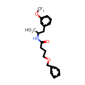 O=C(CCCOCc1ccccc1)NC(Cc1cccc(OC(F)(F)F)c1)C(=O)O